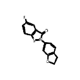 O=c1c2cc(F)ccc2sn1-c1ccc2c(c1)OCC2